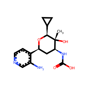 C[C@@]1(O)[C@@H](NC(=O)O)C[C@@H](c2ccncc2N)O[C@H]1C1CC1